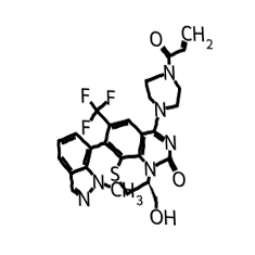 C=CC(=O)N1CCN(c2nc(=O)n3c4c(c(-c5cccc6cnn(C)c56)c(C(F)(F)F)cc24)SC[C@@H]3CO)CC1